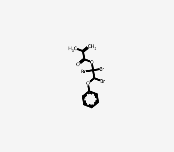 C=C(C)C(=O)OC(Br)(Br)C(Br)Oc1ccccc1